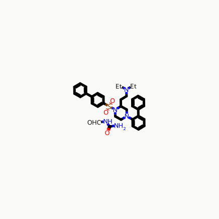 CCN(CC)CCC1CN(c2ccccc2-c2ccccc2)CCN1S(=O)(=O)c1ccc(-c2ccccc2)cc1.NC(=O)NC=O